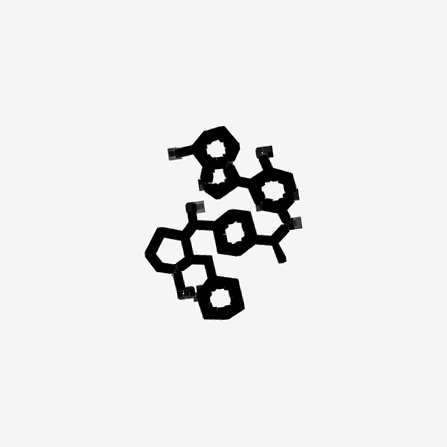 CCc1cccn2c(-c3nc(N[C@@H](C)c4ccc(C(O)C5CCCN(C(=O)O)C5Cc5ccccc5)cc4)ncc3C#N)cnc12